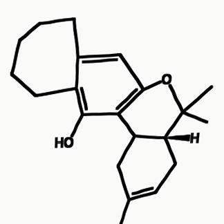 CC1=CC[C@@H]2C(C1)c1c(cc3c(c1O)CCCCC3)OC2(C)C